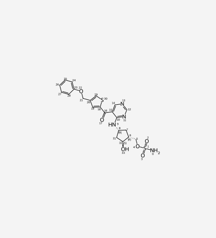 NS(=O)(=O)OC[C@H]1C[C@@H](Nc2ncncc2C(=O)c2cc(COc3ccccc3)cs2)C[C@@H]1O